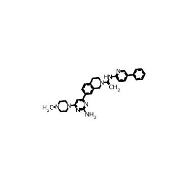 C=C(Nc1ccc(-c2ccccc2)cn1)N1CCc2ccc(-c3cc(N4CCN(C)CC4)nc(N)n3)cc2C1